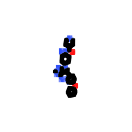 Nc1ncnc2c1c(-c1ccc(Oc3ccccc3)cc1)cn2[C@H]1CC[C@H](NC(=O)c2ccncc2)CC1